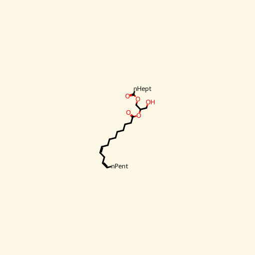 CCCCC/C=C\C/C=C\CCCCCCCC(=O)OC(CO)COC(=O)CCCCCCC